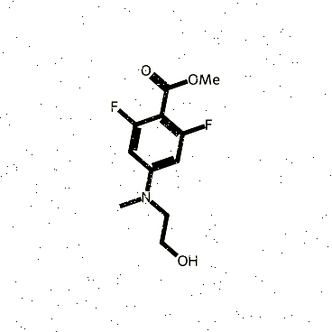 COC(=O)c1c(F)cc(N(C)CCO)cc1F